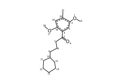 COc1cc(C(=O)CCCC2CCCCC2)c(OC)cc1C